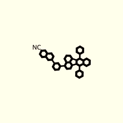 N#Cc1ccc2cc(-c3cccc(-c4ccc5c6c(cccc46)-c4c-5c(-c5ccccc5)c5ccccc5c4-c4ccccc4)c3)ccc2c1